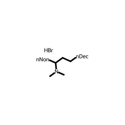 Br.CCCCCCCCCCCCC(CCCCCCCCC)N(C)C